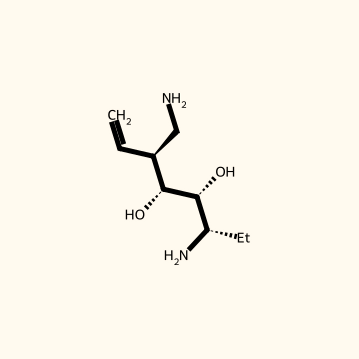 C=C[C@@H](CN)[C@@H](O)[C@H](O)[C@@H](N)CC